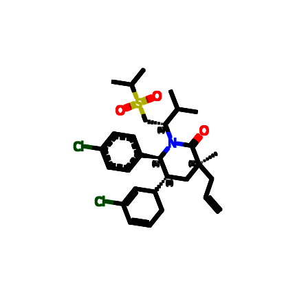 C=CC[C@@]1(C)C[C@H](C2C=C(Cl)C=CC2)[C@@H](c2ccc(Cl)cc2)N([C@H](CS(=O)(=O)C(C)C)C(C)C)C1=O